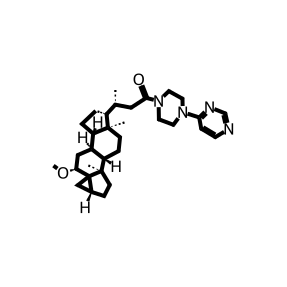 CO[C@@H]1C[C@H]2[C@@H]3CC[C@H]([C@H](C)CC(=O)N4CCN(c5ccncn5)CC4)[C@@]3(C)CC[C@@H]2[C@@]2(C)CC[C@@H]3CC312